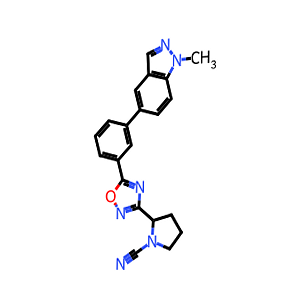 Cn1ncc2cc(-c3cccc(-c4nc(C5CCCN5C#N)no4)c3)ccc21